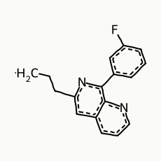 [CH2]CCc1cc2cccnc2c(-c2cccc(F)c2)n1